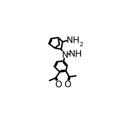 CNN(c1ccc(C(C)=O)c(C(C)=O)c1)C1C2C=CC(C2)C1N